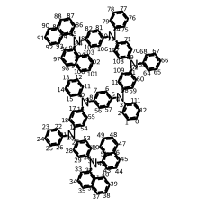 c1ccc(N(c2ccc(N(c3ccccc3)c3ccc(N(c4ccccc4)c4ccc(N(c5cccc6ccccc56)c5cccc6ccccc56)cc4)cc3)cc2)c2ccc(N(c3ccccc3)c3ccc(N(c4ccccc4)c4ccc(N(c5cccc6ccccc56)c5cccc6ccccc56)cc4)cc3)cc2)cc1